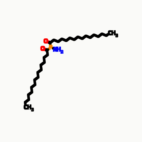 CCCCCCCCCCCCCCCC(=O)P(N)C(=O)CCCCCCCCCCCCCCC